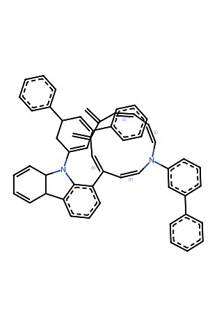 C=C1/C=C\C=C/N(c2cccc(-c3ccccc3)c2)/C=C\C(c2cccc3c2N(C2=CC(c4ccccc4)=CC(c4ccccc4)C2)C2C=CC=CC32)=C/C1=C